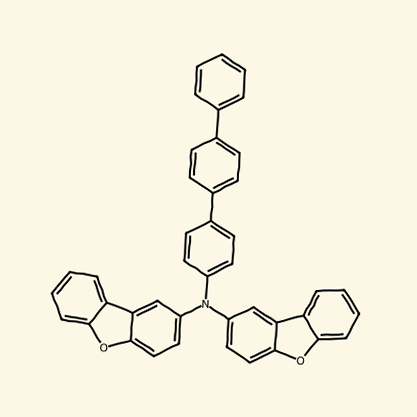 c1ccc(-c2ccc(-c3ccc(N(c4ccc5oc6ccccc6c5c4)c4ccc5oc6ccccc6c5c4)cc3)cc2)cc1